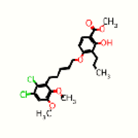 CCCc1c(OCCCCCc2c(Cl)c(Cl)cc(OC)c2OC)ccc(C(=O)OC)c1O